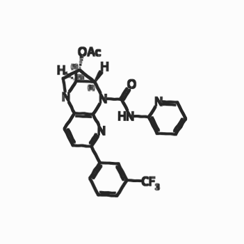 CC(=O)O[C@H]1CN2c3ccc(-c4cccc(C(F)(F)F)c4)nc3N(C(=O)Nc3ccccn3)[C@@H]1[C@@H]2C